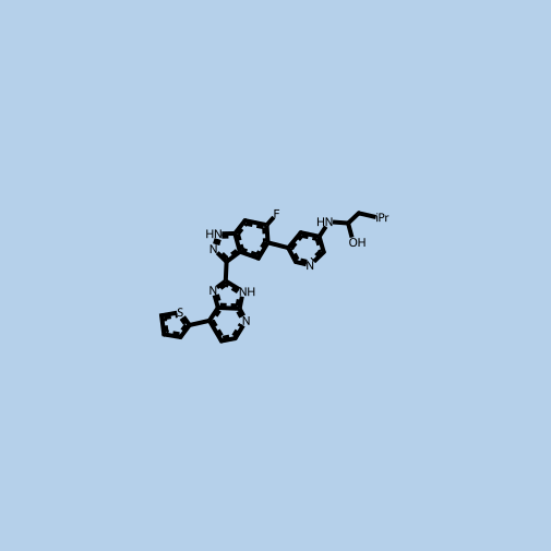 CC(C)CC(O)Nc1cncc(-c2cc3c(-c4nc5c(-c6cccs6)ccnc5[nH]4)n[nH]c3cc2F)c1